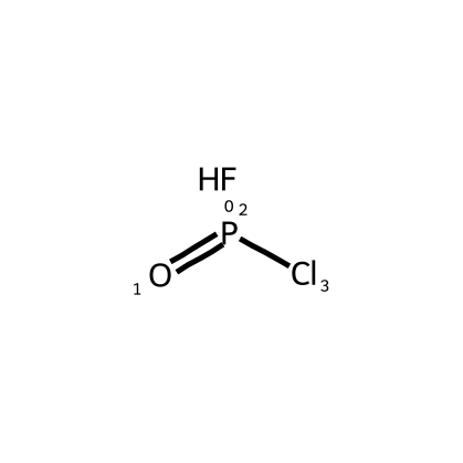 F.O=PCl